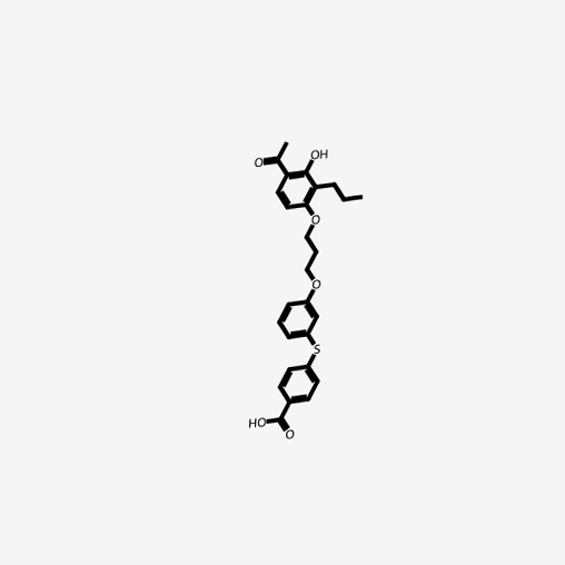 CCCc1c(OCCCOc2cccc(Sc3ccc(C(=O)O)cc3)c2)ccc(C(C)=O)c1O